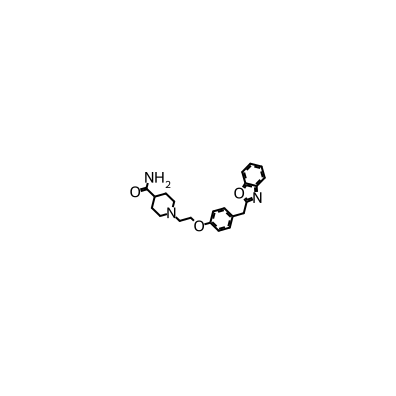 NC(=O)C1CCN(CCOc2ccc(Cc3nc4ccccc4o3)cc2)CC1